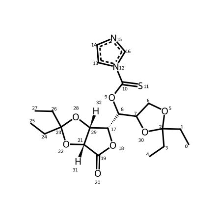 CCC1(CC)OCC(C(OC(=S)n2ccnc2)[C@@H]2OC(=O)[C@@H]3OC(CC)(CC)O[C@@H]32)O1